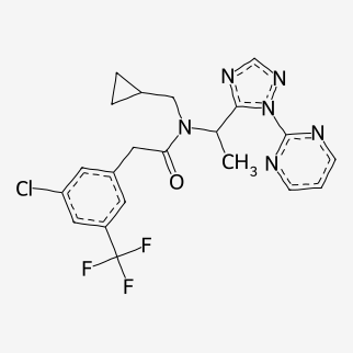 CC(c1ncnn1-c1ncccn1)N(CC1CC1)C(=O)Cc1cc(Cl)cc(C(F)(F)F)c1